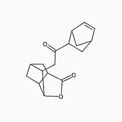 O=C(CC1C2CC3C(=O)OC1C3C2)C1CC2C=CC1C2